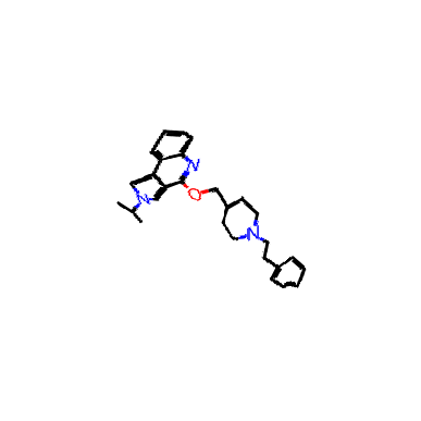 CC(C)n1cc2c(OCC3CCN(CCc4ccccc4)CC3)nc3ccccc3c2c1